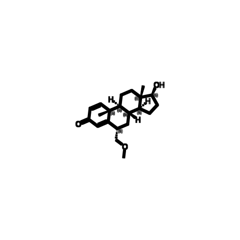 COC[C@H]1C[C@H]2[C@@H]3CC[C@H](O)[C@@]3(C)CC[C@@H]2[C@@]2(C)C=CC(=O)C=C12